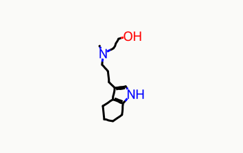 CN(CCO)CCCc1c[nH]c2c1CCCC2